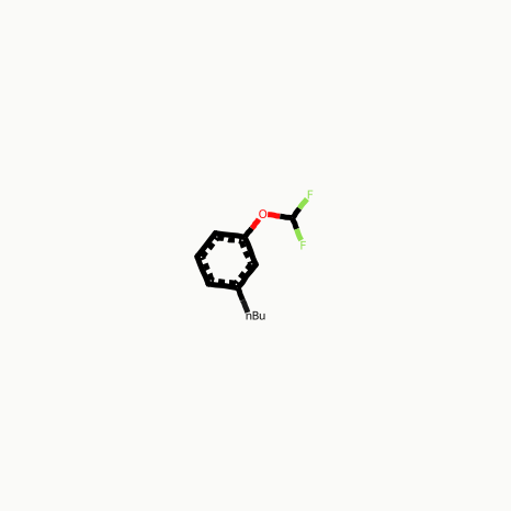 CCCCc1cccc(OC(F)F)c1